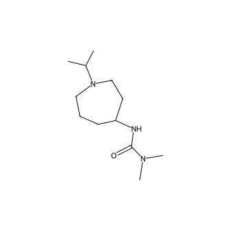 CC(C)N1CCCC(NC(=O)N(C)C)CC1